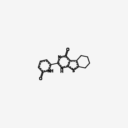 O=c1cccc(-c2nc(=O)c3c4c(sc3[nH]2)CCCC4)[nH]1